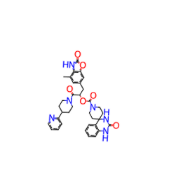 Cc1cc(CC(OC(=O)N2CCC3(CC2)NC(=O)Nc2ccccc23)C(=O)N2CCC(c3ccccn3)CC2)cc2oc(=O)[nH]c12